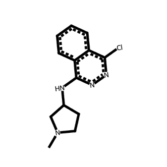 CN1CCC(Nc2nnc(Cl)c3ccccc23)C1